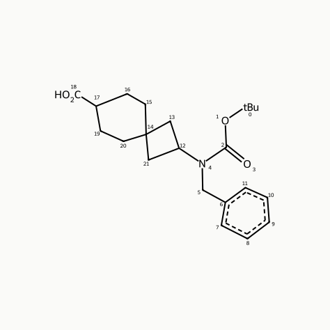 CC(C)(C)OC(=O)N(Cc1ccccc1)C1CC2(CCC(C(=O)O)CC2)C1